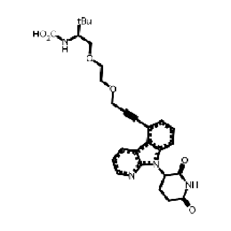 CC(C)(C)C(COCCOCC#Cc1cccc2c1c1cccnc1n2C1CCC(=O)NC1=O)NC(=O)O